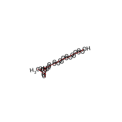 C=CCC(CCCOC(=O)C(CCCOC(=O)C(CCCOC(=O)CCCCOC(=O)CCC(=O)CCOC(=O)CCC(=O)CCOC(=O)CCC(=O)CCOC(=O)CCC(=O)CCOC(=O)CCC(=O)CCO)CC1CO1)CC1CO1)C(=O)OC